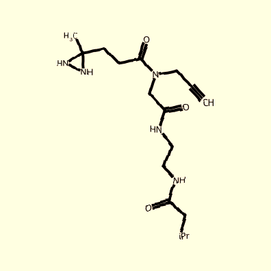 C#CCN(CC(=O)NCCNC(=O)CC(C)C)C(=O)CCC1(C)NN1